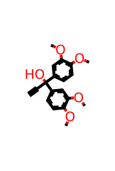 C#CC(O)(c1ccc(OC)c(OC)c1)c1ccc(OC)c(OC)c1